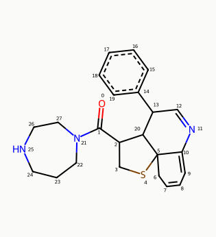 O=C(C1CSC23CC=CC=C2N=CC(c2ccccc2)C13)N1CCCNCC1